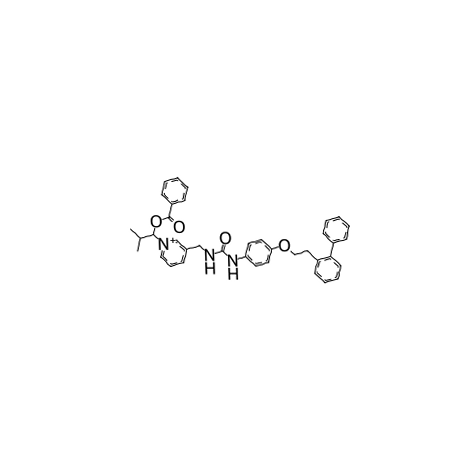 CC(C)C(OC(=O)c1ccccc1)[n+]1cccc(CNC(=O)Nc2ccc(OCCc3ccccc3-c3ccccc3)cc2)c1